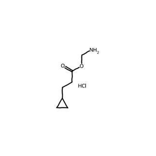 Cl.NCOC(=O)CCC1CC1